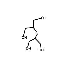 OCC(CO)SC(CO)CO